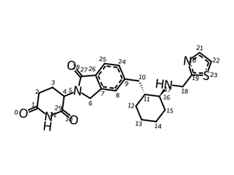 O=C1CCC(N2Cc3cc(C[C@H]4CCCC[C@@H]4NCc4nccs4)ccc3C2=O)C(=O)N1